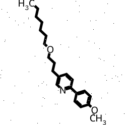 CCCCCCCOCCCc1ccc(-c2ccc(OC)cc2)nc1